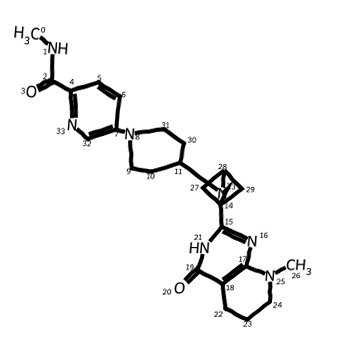 CNC(=O)c1ccc(N2CCC(N3CC4(c5nc6c(c(=O)[nH]5)CCCN6C)CC3C4)CC2)cn1